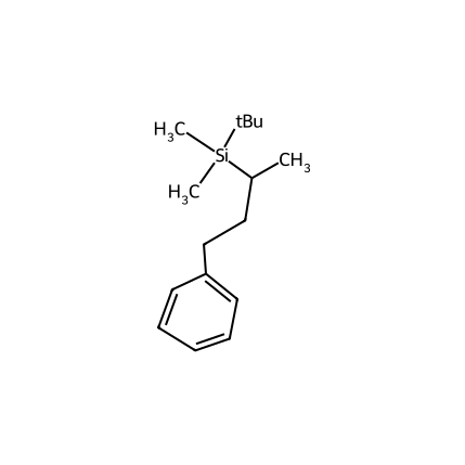 CC(CCc1ccccc1)[Si](C)(C)C(C)(C)C